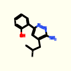 CC(C)Cc1cc(-c2ccccc2O)nnc1N